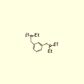 CCP(CC)Cc1cccc(CP(CC)CC)c1